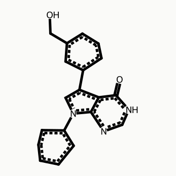 O=c1[nH]cnc2c1c(-c1cccc(CO)c1)cn2-c1ccccc1